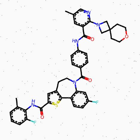 Cc1cnc(N2CC3(CCOCC3)C2)c(C(=O)Nc2ccc(C(=O)N3CCc4cc(C(=O)Nc5c(C)cccc5F)sc4-c4ccc(F)cc43)cc2)c1